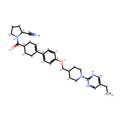 CCc1cnc(N2CCC(COc3ccc(C4=CCC(C(=O)N5CCCC5C#N)CC4)cc3)CC2)nc1